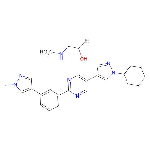 CCC(O)CNC(=O)O.Cn1cc(-c2cccc(-c3ncc(-c4cnn(C5CCCCC5)c4)cn3)c2)cn1